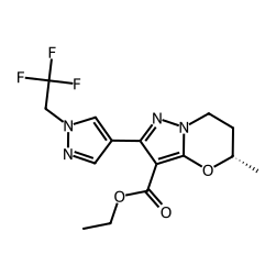 CCOC(=O)c1c(-c2cnn(CC(F)(F)F)c2)nn2c1O[C@@H](C)CC2